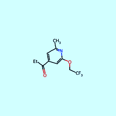 CCC(=O)c1cc(C)nc(OCC(F)(F)F)c1